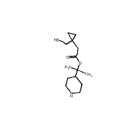 CC(C)(OC(=O)CC1(CS)CC1)C1CCNCC1